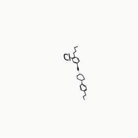 CCCCc1ccc(C#C[C@H]2CC[C@H](c3ccc(CCC)cc3)CC2)cc1Cl